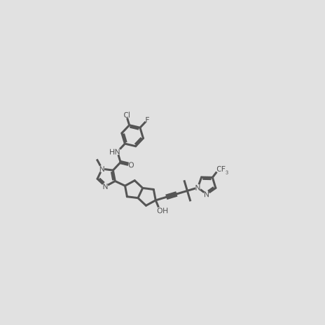 Cn1cnc(C2CC3CC(O)(C#CC(C)(C)n4cc(C(F)(F)F)cn4)CC3C2)c1C(=O)Nc1ccc(F)c(Cl)c1